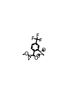 CON(C)C(=O)c1ccc(C(F)(F)F)cc1S(C)(=O)=O